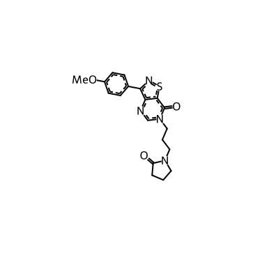 COc1ccc(-c2nsc3c(=O)n(CCCN4CCCC4=O)cnc23)cc1